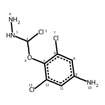 NNC(Cl)Oc1c(Cl)cc(N)cc1Cl